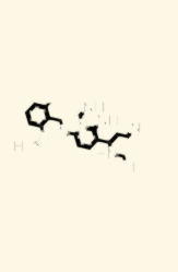 CCN/C(=C\C=N)c1ccc(NCc2c(F)cccc2OC)n(C=N)c1=N